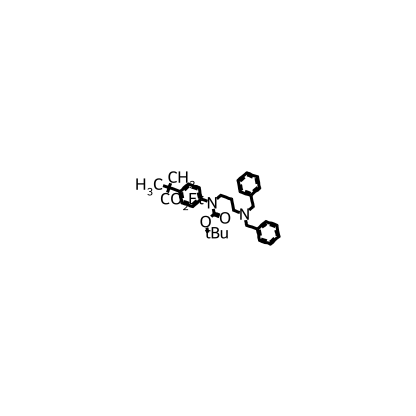 CCOC(=O)C(C)(C)c1ccc(N(CCCN(Cc2ccccc2)Cc2ccccc2)C(=O)OC(C)(C)C)cc1